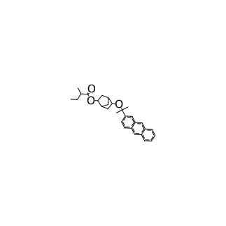 CCC(C)C(=O)OC1CC2CC1CC2OC(C)(C)c1ccc2cc3ccccc3cc2c1